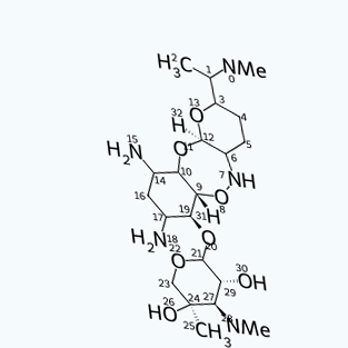 CNC(C)C1CCC2NO[C@H]3C(O[C@H]2O1)C(N)CC(N)[C@@H]3OC1OC[C@](C)(O)[C@H](NC)[C@H]1O